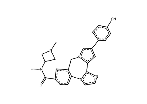 CN1CC(N(C)C(=O)c2ccc3c(c2)Cn2cc(-c4ccc(C#N)cc4)cc2-c2nccn2-3)C1